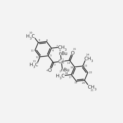 CCC[CH2][Ge]([CH2]CCC)([C](=O)c1c(C)cc(C)cc1C)[C](=O)c1c(C)cc(C)cc1C